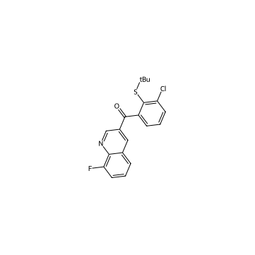 CC(C)(C)Sc1c(Cl)cccc1C(=O)c1cnc2c(F)cccc2c1